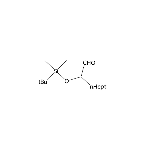 CCCCCCCC(C=O)O[Si](C)(C)C(C)(C)C